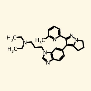 CCN(CC)CCCn1cnc2ccc(-c3c(-c4cccc(C)n4)nn4c3CCC4)cc21